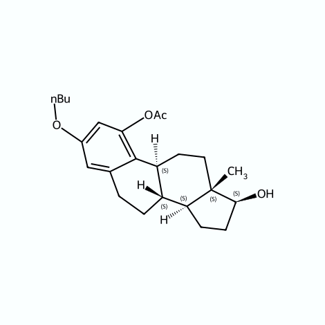 CCCCOc1cc2c(c(OC(C)=O)c1)[C@H]1CC[C@]3(C)[C@@H](O)CC[C@H]3[C@@H]1CC2